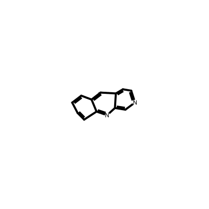 [c]1c2ccccc2nc2cnccc12